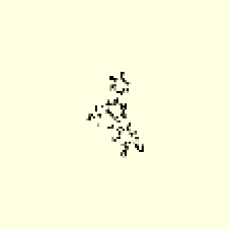 FC(F)(F)c1nc(-c2ccccn2)ncc1Cc1ccc(Cl)c(Cl)c1